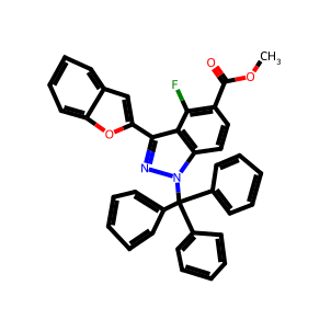 COC(=O)c1ccc2c(c(-c3cc4ccccc4o3)nn2C(c2ccccc2)(c2ccccc2)c2ccccc2)c1F